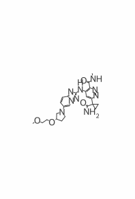 CNC(=O)c1nnc(C2(C(N)=O)CC2)cc1Nc1nc2ccc(N3CC[C@H](OCCOC)C3)cn2n1